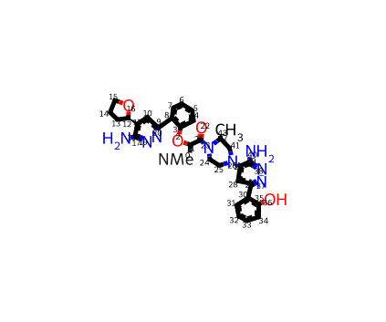 CNC(Oc1ccccc1-c1cc([C@H]2CCCO2)c(N)nn1)C(=O)N1CCN(c2cc(-c3ccccc3O)nnc2N)CC1C